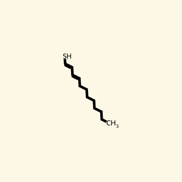 CCCCCCCCC=CC=CS